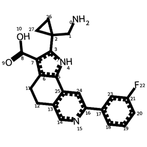 NCC1(c2[nH]c3c(c2C(=O)O)CCc2cnc(-c4cccc(F)c4)cc2-3)CC1